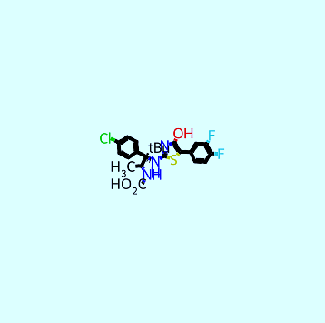 CC(NC(=O)O)[C@@](Nc1nc(O)c(-c2ccc(F)c(F)c2)s1)(c1ccc(Cl)cc1)C(C)(C)C